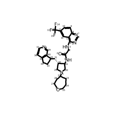 O=C(CNc1ncnc2ccc(C(F)(F)F)cc12)NC1CN(C2CCCOCC2)C[C@@H]1CC1CCc2ccncc21